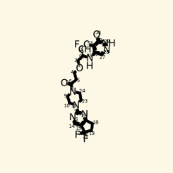 C[C@@H](COCCC(=O)N1CCN(c2ncc3c(n2)CCC3(F)F)CC1)Nc1cn[nH]c(=O)c1C(F)(F)F